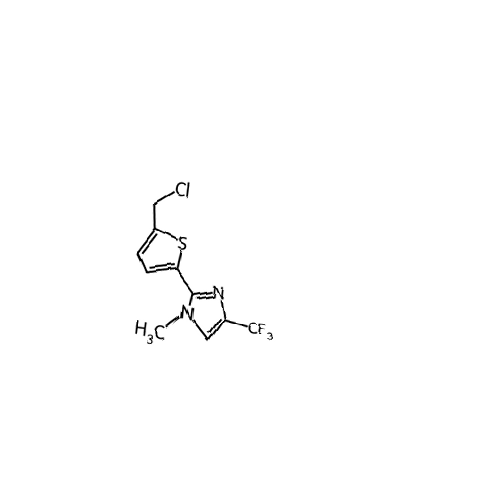 Cn1cc(C(F)(F)F)nc1-c1ccc(CCl)s1